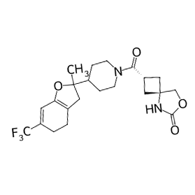 CC1(C2CCN(C(=O)[C@H]3C[C@]4(COC(=O)N4)C3)CC2)CC2=C(C=C(C(F)(F)F)CC2)O1